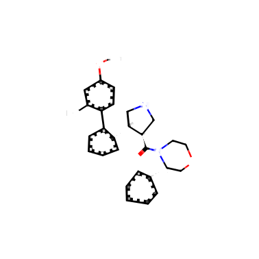 CCCOc1ccc(-c2ccccc2[C@@H]2CNC[C@H]2C(=O)N2CCOC[C@@H]2c2ccccc2)c(C)c1